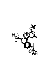 CC(C)C[C@H](NC(=O)OC(C)(C)C)C(=O)N(C)[C@@H](Cc1ccc(NS(=O)(=O)O)cc1)C(N)=O